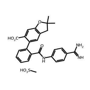 CC1(C)Cc2cc(-c3ccccc3C(=O)Nc3ccc(C(=N)N)cc3)c(C(=O)O)cc2O1.CS(=O)(=O)O